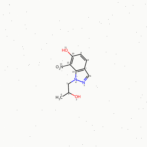 CC(O)Cn1ncc2ccc(O)c([N+](=O)[O-])c21